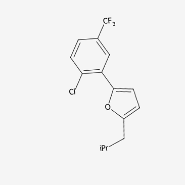 CC(C)Cc1ccc(-c2cc(C(F)(F)F)ccc2Cl)o1